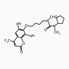 CCCc1cc2c(C(F)(F)F)cc(=O)oc2c(CCC)c1OCCCCN(C=O)C(=O)N(C)C1CCCC1